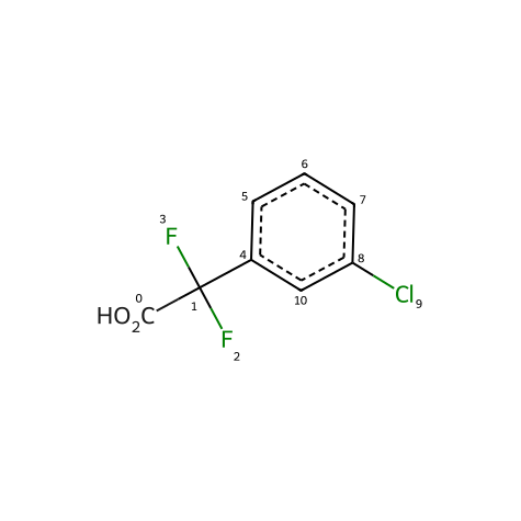 O=C(O)C(F)(F)c1cccc(Cl)c1